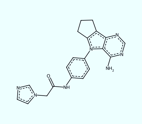 Nc1ncnc2c3c(n(-c4ccc(NC(=O)Cn5ccnc5)cc4)c12)CCC3